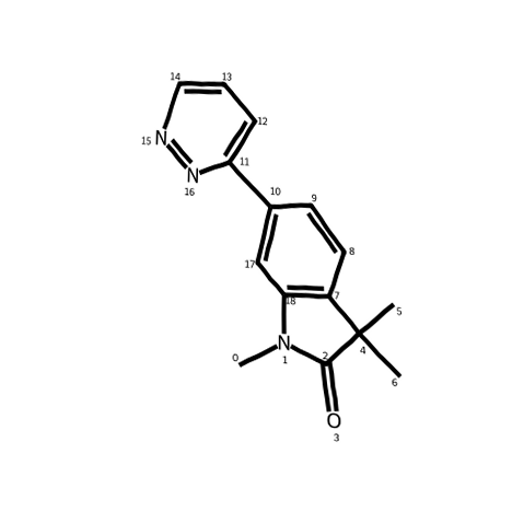 CN1C(=O)C(C)(C)c2ccc(-c3cccnn3)cc21